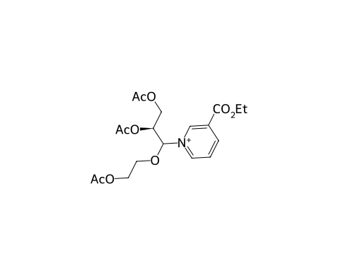 CCOC(=O)c1ccc[n+](C(OCCOC(C)=O)[C@H](COC(C)=O)OC(C)=O)c1